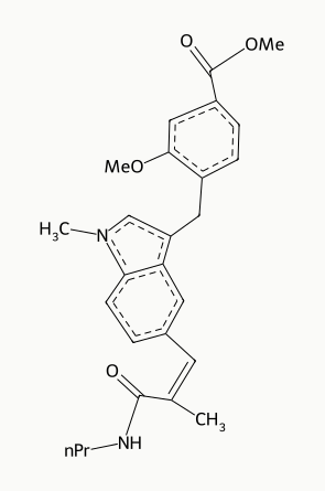 CCCNC(=O)C(C)=Cc1ccc2c(c1)c(Cc1ccc(C(=O)OC)cc1OC)cn2C